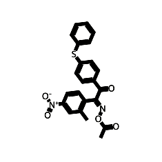 CC(=O)O/N=C(/C(=O)c1ccc(Sc2ccccc2)cc1)c1ccc([N+](=O)[O-])cc1C